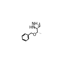 CC[C@H](NN)[C@H](C)OCc1ccccc1